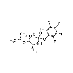 CC(C)OC(=O)[C@H](C)NP(=O)(O)Oc1c(F)c(F)c(F)c(F)c1F